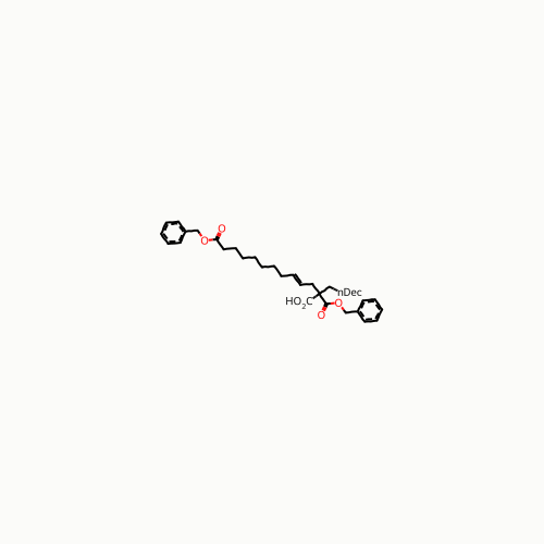 CCCCCCCCCCCC(CC=CCCCCCCCC(=O)OCc1ccccc1)(C(=O)O)C(=O)OCc1ccccc1